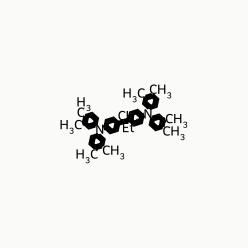 CCC(C)(c1ccc(N(c2ccc(C)c(C)c2)c2ccc(C)c(C)c2)cc1)c1ccc(N(c2ccc(C)c(C)c2)c2ccc(C)c(C)c2)cc1